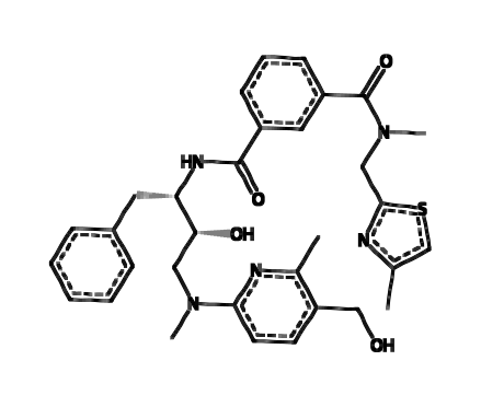 Cc1csc(CN(C)C(=O)c2cccc(C(=O)N[C@@H](Cc3ccccc3)[C@H](O)CN(C)c3ccc(CO)c(C)n3)c2)n1